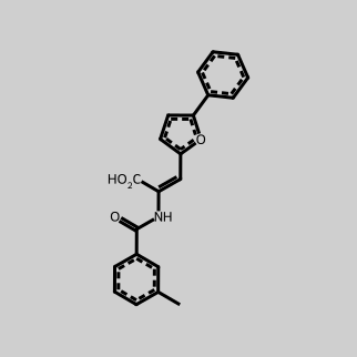 Cc1cccc(C(=O)N/C(=C/c2ccc(-c3ccccc3)o2)C(=O)O)c1